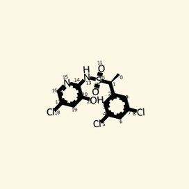 C[C@@H](c1cc(Cl)cc(Cl)c1)S(=O)(=O)Nc1ncc(Cl)cc1O